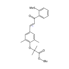 CSc1ccccc1C(=O)/C=C/c1cc(C)c(OC(C)(C)C(=O)OC(C)(C)C)c(C)c1